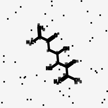 C=C(C)C(=O)[CH]C(O)C(O)C(=O)C(=C)C